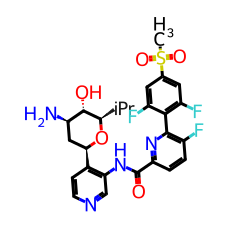 CC(C)[C@H]1O[C@@H](c2ccncc2NC(=O)c2ccc(F)c(-c3c(F)cc(S(C)(=O)=O)cc3F)n2)C[C@@H](N)[C@@H]1O